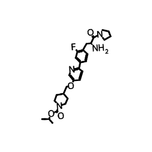 CC(C)OC(=O)N1CCC(COc2ccc(-c3ccc(C[C@H](N)C(=O)N4CCCC4)c(F)c3)nc2)CC1